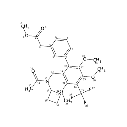 COC(=O)Cc1cccc(-c2c(CN(C(C)=O)C3CCC3)c(OC)c(C(F)(F)F)c(OC)c2OC)c1